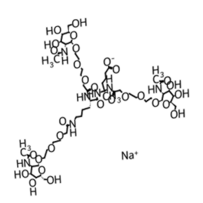 CC(=O)N[C@H]1[C@H](OCCOCCOCC(=O)NCCCC[C@H](NC(=O)COCCOCCO[C@@H]2O[C@H](CO)[C@H](O)[C@H](O)[C@H]2NC(C)=O)C(=O)N[C@](C)(CCCC(=O)[O-])NC(=O)COCCOCCO[C@@H]2O[C@H](CO)[C@H](O)[C@H](O)[C@H]2NC(C)=O)O[C@H](CO)[C@H](O)[C@@H]1O.[Na+]